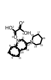 O=C(O)C(=O)O.c1ccc2ncc(N3CCCCC3)cc2c1